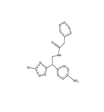 CCc1coc(C(CNC(=O)Cc2ccccc2)c2ccc([N+](=O)[O-])cc2)n1